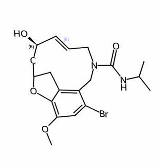 COc1cc(Br)c2c3c1OC(C3)C[C@@H](O)/C=C/CN(C(=O)NC(C)C)C2